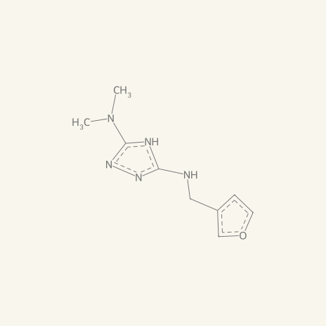 CN(C)c1nnc(NCc2ccoc2)[nH]1